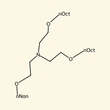 CCCCCCCCCOCCN(CCOCCCCCCCC)CCOCCCCCCCC